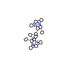 c1ccc(-c2ccc(-n3c4ccccc4c4ccc5c6ccccc6n(-c6cccc(-c7cccc(-c8ccccc8-c8ccc(-n9c%10ccccc%10c%10ccc%11c%12ccccc%12n(-c%12cc(-c%13ccccc%13)cc(-c%13ccccc%13)c%12)c%11c%109)cc8)c7)c6)c5c43)cc2)cc1